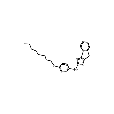 CCCCCCCCOc1ccc(Nc2nc3c(s2)Cc2ccccc2-3)cc1